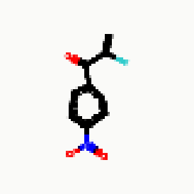 C=C(F)C(=O)c1ccc([N+](=O)[O-])cc1